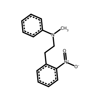 CN(CCc1ccccc1[N+](=O)[O-])c1ccccc1